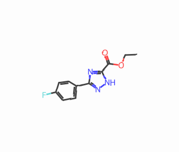 CCOC(=O)c1nc(-c2ccc(F)cc2)n[nH]1